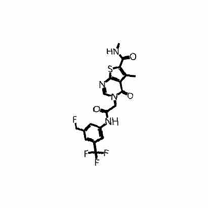 CNC(=O)c1sc2ncn(CC(=O)Nc3cc(CF)cc(C(F)(F)F)c3)c(=O)c2c1C